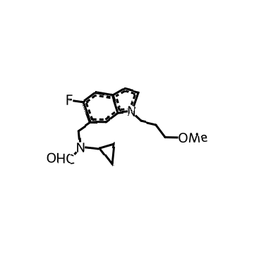 COCCCn1ccc2cc(F)c(CN(C=O)C3CC3)cc21